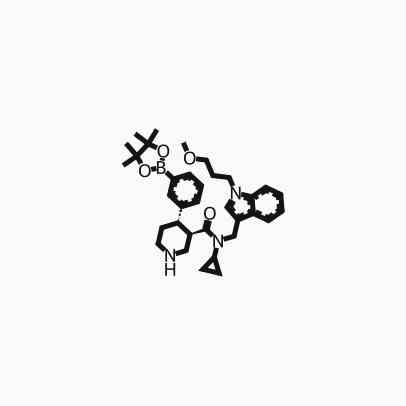 COCCCn1cc(CN(C(=O)[C@H]2CNCC[C@@H]2c2cccc(B3OC(C)(C)C(C)(C)O3)c2)C2CC2)c2ccccc21